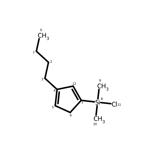 CCCCC1=CCC([Si](C)(C)Cl)=C1